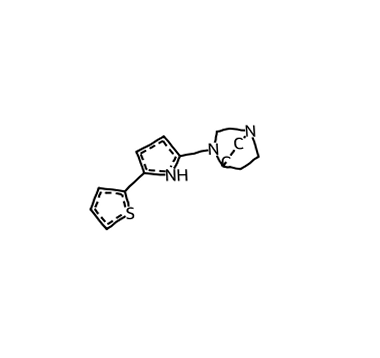 c1csc(-c2ccc(N3CCN4CCC3CC4)[nH]2)c1